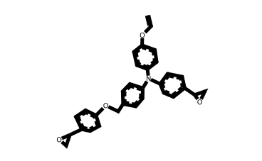 C=COc1ccc(N(c2ccc(COc3ccc(C4CO4)cc3)cc2)c2ccc(C3CO3)cc2)cc1